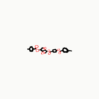 Cc1ccc(C(=O)Oc2ccc(C(=O)O[C@H]3COC4C3OC[C@H]4OC(=O)c3ccc(C)cc3)cc2)cc1